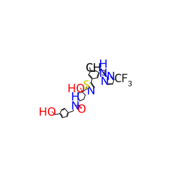 Cc1cc(Nc2nccc(C(F)(F)F)n2)cc(-c2cnc([C@]3(O)CC[C@H](C(=O)NCc4ccc(CO)cc4)CC3)s2)c1